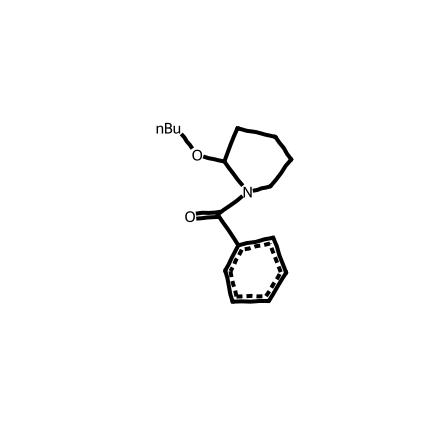 CCCCOC1CCCCN1C(=O)c1ccccc1